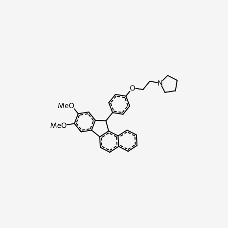 COc1cc2c(cc1OC)C(c1ccc(OCCN3CCCC3)cc1)c1c-2ccc2ccccc12